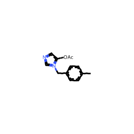 CC(=O)Oc1cncn1Cc1ccc(C)cc1